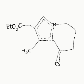 CCOC(=O)c1cn2c(c1C)C(=O)CCC2